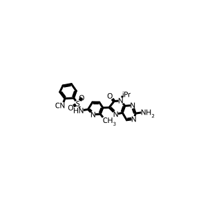 Cc1nc(NS(=O)(=O)c2ccccc2C#N)ccc1-c1nc2cnc(N)nc2n(C(C)C)c1=O